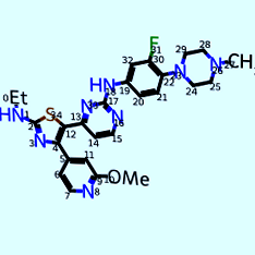 CCNc1nc(-c2ccnc(OC)c2)c(-c2ccnc(Nc3ccc(N4CCN(C)CC4)c(F)c3)n2)s1